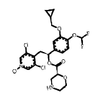 O=C(O[C@@H](Cc1c(Cl)c[n+]([O-])cc1Cl)c1ccc(OC(F)F)c(OCC2CC2)c1)[C@@H]1CNCCO1